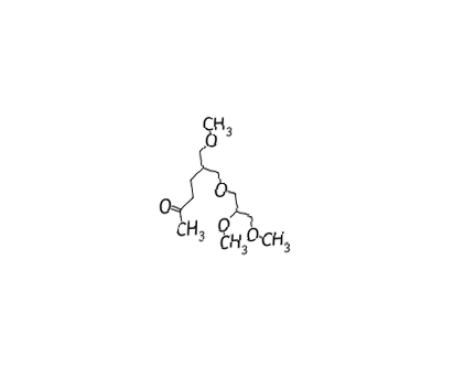 COCC(CCC(C)=O)COCC(COC)OC